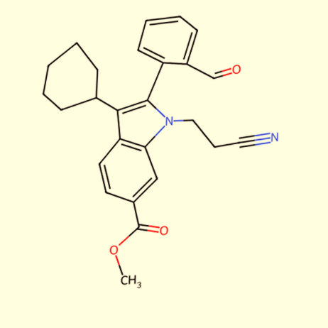 COC(=O)c1ccc2c(C3CCCCC3)c(-c3ccccc3C=O)n(CCC#N)c2c1